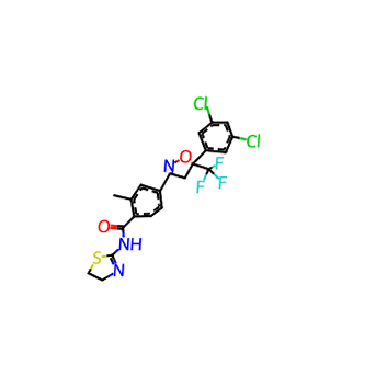 Cc1cc(C2=NOC(c3cc(Cl)cc(Cl)c3)(C(F)(F)F)C2)ccc1C(=O)NC1=NCCS1